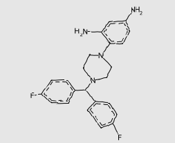 Nc1ccc(N2CCN(C(c3ccc(F)cc3)c3ccc(F)cc3)CC2)c(N)c1